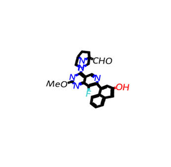 COc1nc(N2CC3CCC(C=O)(C2)N3)c2cnc(-c3cc(O)cc4ccccc34)c(F)c2n1